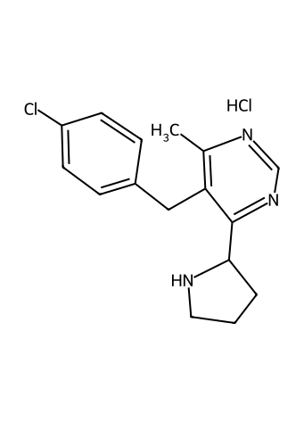 Cc1ncnc(C2CCCN2)c1Cc1ccc(Cl)cc1.Cl